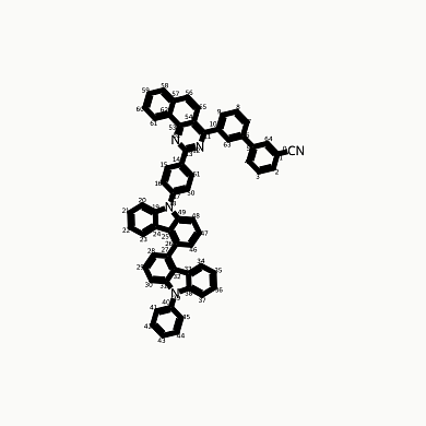 N#Cc1cccc(-c2cccc(-c3nc(-c4ccc(-n5c6ccccc6c6c(-c7cccc8c7c7ccccc7n8-c7ccccc7)cccc65)cc4)nc4c3ccc3ccccc34)c2)c1